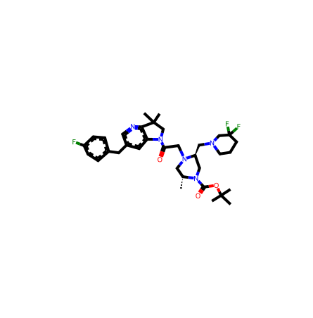 C[C@@H]1CN(CC(=O)N2CC(C)(C)c3ncc(Cc4ccc(F)cc4)cc32)[C@@H](CN2CCCC(F)(F)C2)CN1C(=O)OC(C)(C)C